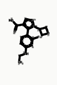 CCNc1ccc(-c2c(C(=O)O)cnn2C2COC2)c(F)n1